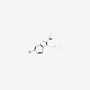 CCSc1c(C(=O)O)sc2cc(C(F)(F)F)ccc12